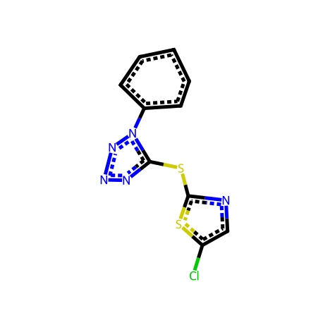 Clc1cnc(Sc2nnnn2-c2ccccc2)s1